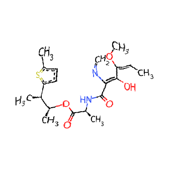 C=N/C(C(=O)N[C@@H](C)C(=O)O[C@@H](C)[C@@H](C)c1ccc(C)s1)=C(O)\C(=C/C)OC